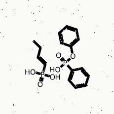 CCC=CP(=O)(O)O.O=P(O)(Oc1ccccc1)c1ccccc1